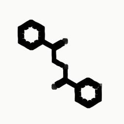 O=C(COC(=O)c1cccnc1)c1ccccc1